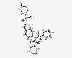 CN1CCC(C(=O)Nc2nc3ccc(N(S(=O)(=O)c4cccnc4)S(=O)(=O)c4cccnc4)cc3s2)CC1